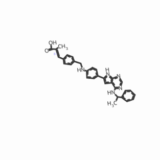 C/C(=C\c1ccc(CNc2ccc(-c3cc4c(NC(C)c5ccccc5)ncnc4[nH]3)cc2)cc1)C(=O)O